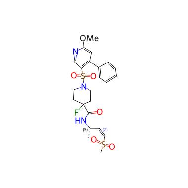 COc1cc(-c2ccccc2)c(S(=O)(=O)N2CCC(F)(C(=O)N[C@@H](C)/C=C\S(C)(=O)=O)CC2)cn1